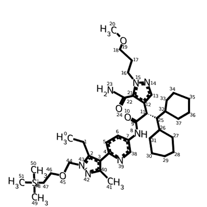 CCc1c(-c2ccc(NC(=O)[C@H](c3cnn(CCCOC)c3C(N)=O)C(C3CCCCC3)C3CCCCC3)cn2)c(C)nn1COCC[Si](C)(C)C